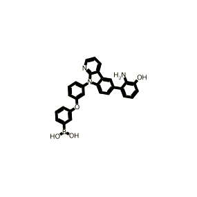 Nc1c(O)cccc1-c1ccc2c(c1)c1cccnc1n2-c1cccc(Oc2cccc(B(O)O)c2)c1